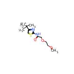 COCCOCC(=O)Nc1nc(C(C)(C)C)cs1